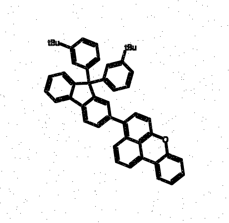 CC(C)(C)c1cccc(C2(c3cccc(C(C)(C)C)c3)c3ccccc3-c3ccc(-c4ccc5c6c(cccc46)-c4ccccc4O5)cc32)c1